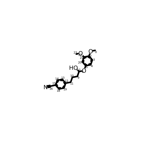 COc1ccc(OC(O)CCCc2ccc(C#N)cc2)cc1OC